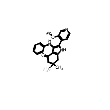 CC(C)Oc1cnccc1-c1[nH]c2c(c1Nc1ccccc1)C(=O)CC(C)(C)C2